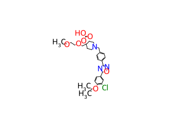 COCCOCC1(OC(=O)O)CCN(Cc2ccc(-c3noc(-c4ccc(OC(C)C)c(Cl)c4)n3)cc2)CC1